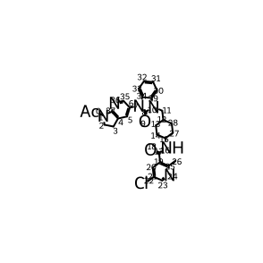 CC(=O)N1CCc2cc(-n3c(=O)n(CC4CCC(NC(=O)c5cc(Cl)cnc5C)CC4)c4ccccc43)cnc21